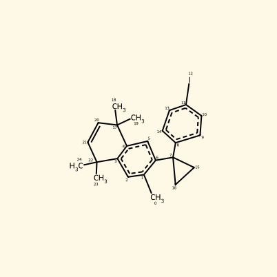 Cc1cc2c(cc1C1(c3ccc(I)cc3)CC1)C(C)(C)C=CC2(C)C